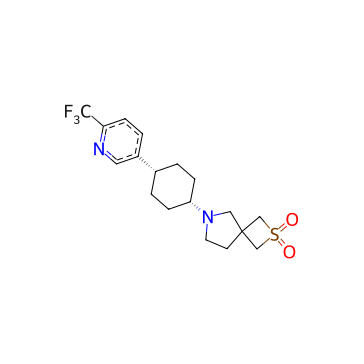 O=S1(=O)CC2(CCN([C@H]3CC[C@@H](c4ccc(C(F)(F)F)nc4)CC3)C2)C1